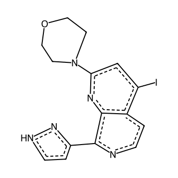 Ic1cc(N2CCOCC2)nc2c(-c3cc[nH]n3)nccc12